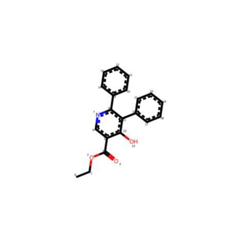 CCOC(=O)c1cnc(-c2ccccc2)c(-c2ccccc2)c1O